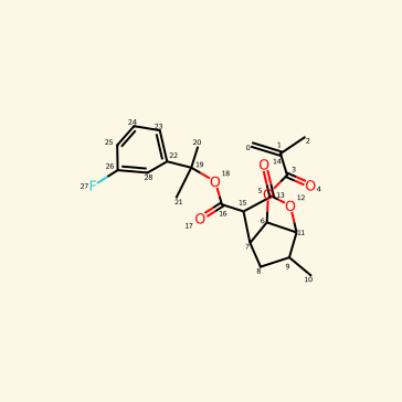 C=C(C)C(=O)OC1C2CC(C)C1OC(=O)C2C(=O)OC(C)(C)c1cccc(F)c1